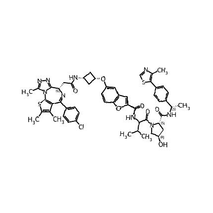 Cc1ncsc1-c1ccc([C@H](C)NC(=O)[C@@H]2C[C@@H](O)CN2C(=O)C(NC(=O)c2cc3cc(O[C@H]4C[C@@H](NC(=O)C[C@@H]5N=C(c6ccc(Cl)cc6)c6c(sc(C)c6C)-n6c(C)nnc65)C4)ccc3o2)C(C)C)cc1